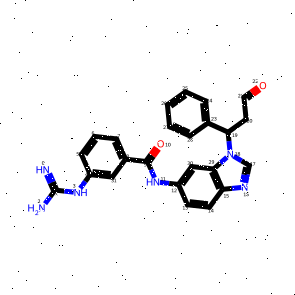 N=C(N)Nc1cccc(C(=O)Nc2ccc3ncn(C(CC=O)c4ccccc4)c3c2)c1